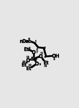 CCCCCCCCCCCCCCO.CCO[Si](OCC)(OCC)OCC